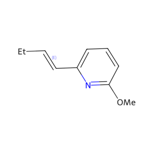 CC/C=C/c1cccc(OC)n1